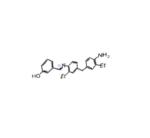 CCc1cc(Cc2ccc(/N=C/c3cccc(O)c3)c(CC)c2)ccc1N